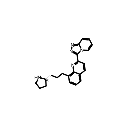 c1cc(CCC[C@@H]2CCCN2)c2nc(-c3nnc4ccccn34)ccc2c1